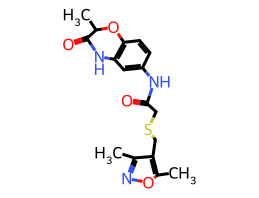 Cc1noc(C)c1CSCC(=O)Nc1ccc2c(c1)NC(=O)C(C)O2